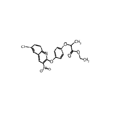 CCOC(=O)C(C)Oc1ccc(Oc2nc3ccc(Cl)cc3cc2[N+](=O)[O-])cc1